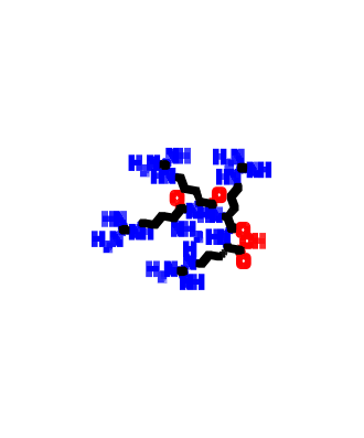 N=C(N)NCCC[C@H](NC(=O)[C@H](CCCNC(=N)N)NC(=O)[C@H](CCCNC(=N)N)NC(=O)[C@@H](N)CCCNC(=N)N)C(=O)O